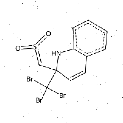 O=S(=O)=CC1(C(Br)(Br)Br)C=Cc2ccccc2N1